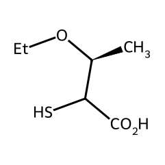 CCO[C@@H](C)C(S)C(=O)O